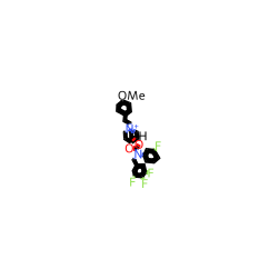 COc1ccc(CC[N+]23CCC(CC2)[C@@H](OC(=O)N(Cc2cc(F)c(F)c(F)c2)c2cccc(F)c2)C3)cc1